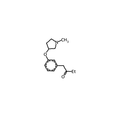 CCC(=O)Cc1cccc(OC2CCN(C)C2)c1